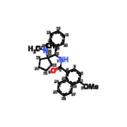 COc1ccc(C(=O)NC(c2ccccc2)C2(N(C)C)CCCC2)c2ccccc12